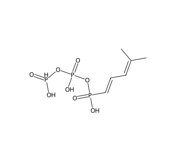 CC(C)=CC=CP(=O)(O)OP(=O)(O)O[PH](=O)O